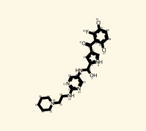 O=C(c1c[nH]c(C(O)Nc2cnc(NCCN3CCCCC3)nc2)c1)c1c(Cl)ccc(Cl)c1F